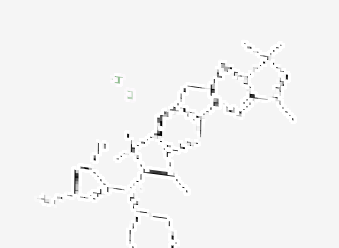 CCC1C=C(C(C)(C)C)C=[C]1[Zr+2]([C]1=C(C)c2cc3c(cc2C1(C)C)Cc1cc2c(cc1-3)C(C)=CC2(C)C)=[C]1CCCCC1.[Cl-].[Cl-]